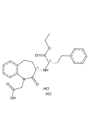 CCOC(=O)[C@H](CCc1ccccc1)N[C@H]1CCc2ccccc2N(CC(=O)O)C1=O.Cl.Cl